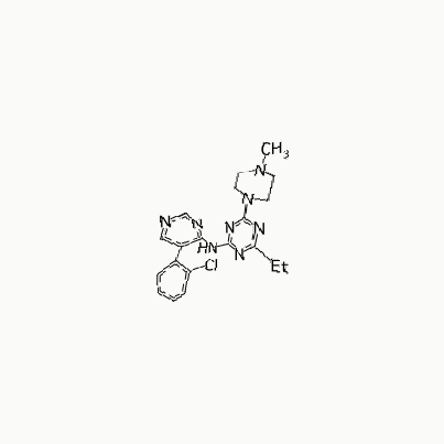 CCc1nc(Nc2ncncc2-c2ccccc2Cl)nc(N2CCN(C)CC2)n1